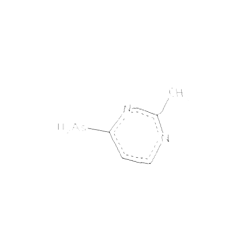 Cc1nccc([AsH2])n1